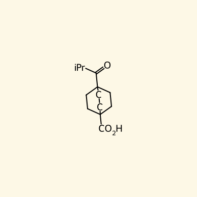 CC(C)C(=O)C12CCC(C(=O)O)(CC1)CC2